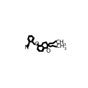 CCCCC1(CCCC)CCc2c(OCc3ccccc3C#N)cccc2C1=O